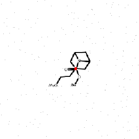 COCCN1CC2CC(C1)N2C(=O)OC(C)(C)C